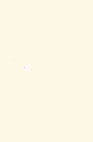 CC#Cc1cc(C)c(C2C(=O)CC3(CCN(C(=O)[C@@H](C)O)CC3)CC2=O)c(C)c1